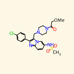 COCC(=O)N1CCN(Cc2c(-c3ccc(Cl)cc3)nc3ccc(NS(C)(=O)=O)cn23)CC1